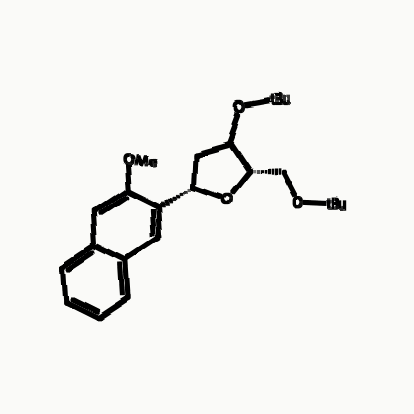 COc1cc2ccccc2cc1[C@@H]1CC(OC(C)(C)C)[C@H](COC(C)(C)C)O1